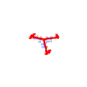 CO[C@@H]1C[C@H](OCCCCC(=O)NCCCNC(=O)CCOCC(C)(COCCC(=O)NCCCNC(=O)CCCCO[C@H]2C[C@@H](OC(C)=O)[C@@H](OC(C)=O)[C@@H](COC(C)=O)O2)COCCC(=O)NCCCNC(=O)CCCCO[C@H]2C[C@@H](OC(C)=O)[C@@H](OC(C)=O)[C@@H](COC(C)=O)O2)O[C@H](COC(C)=O)[C@@H]1OC(C)=O